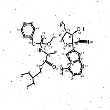 CCC(CC)COC(=O)C(C)NP(=O)(OC[C@H]1O[C@@](C#N)(c2cc3ncnc(N)n3c2)[C@H](O)[C@@H]1O)Oc1ccccc1